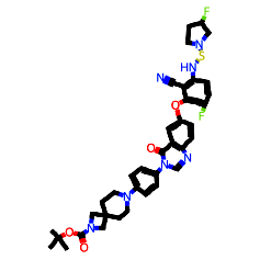 CC(C)(C)OC(=O)N1CC2(CCN(c3ccc(-n4cnc5ccc(Oc6c(F)ccc(NSN7CCC(F)C7)c6C#N)cc5c4=O)cc3)CC2)C1